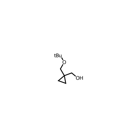 CC(C)(C)OCC1(CO)CC1